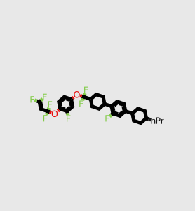 CCCC1CCC(c2ccc(C3CCC(C(F)(F)Oc4ccc(OC(F)(F)C=C(F)F)c(F)c4)CC3)c(F)c2)CC1